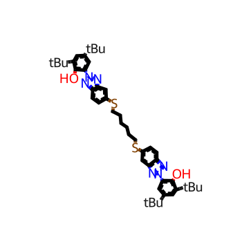 CC(C)(C)c1cc(-n2nc3ccc(SCCCCCCSc4ccc5nn(-c6cc(C(C)(C)C)cc(C(C)(C)C)c6O)nc5c4)cc3n2)c(O)c(C(C)(C)C)c1